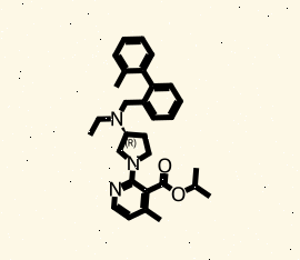 CCN(Cc1ccccc1-c1ccccc1C)[C@@H]1CCN(c2nccc(C)c2C(=O)OC(C)C)C1